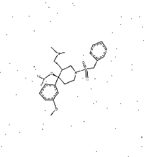 COc1cccc([C@@]2(OC(F)F)CCN(S(=O)(=O)Cc3ccccc3)CC2CN(C)C)c1